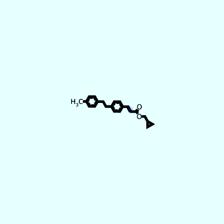 Cc1ccc(CCc2ccc(/C=C/C(=O)OCC3CC3)cc2)cc1